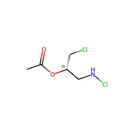 CC(=O)O[C@H](CCl)CNCl